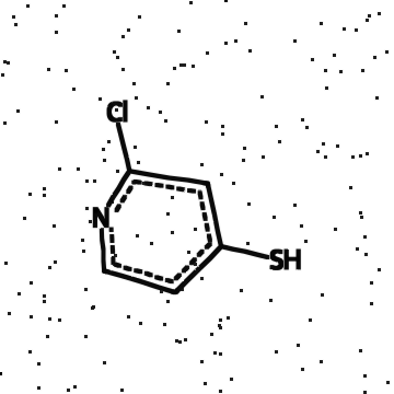 Sc1ccnc(Cl)c1